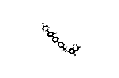 CC1COC(c2ccc(C3CCC(C4CCC(C(F)(F)Oc5cc(F)c(C=C(F)F)c(F)c5)CC4)CC3)c(F)c2)OC1